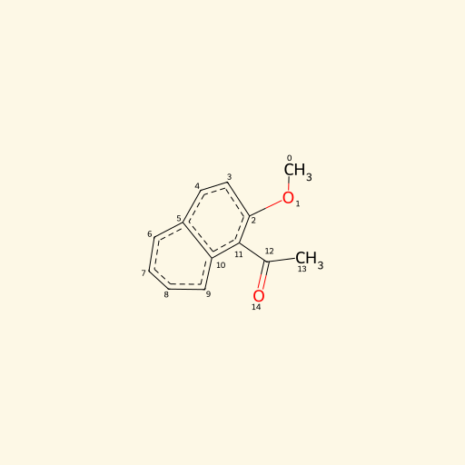 COc1ccc2ccccc2c1C(C)=O